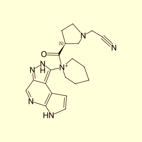 N#CCN1CC[C@H](C(=O)[N+]2(c3[nH]nc4cnc5[nH]ccc5c34)CCCCC2)C1